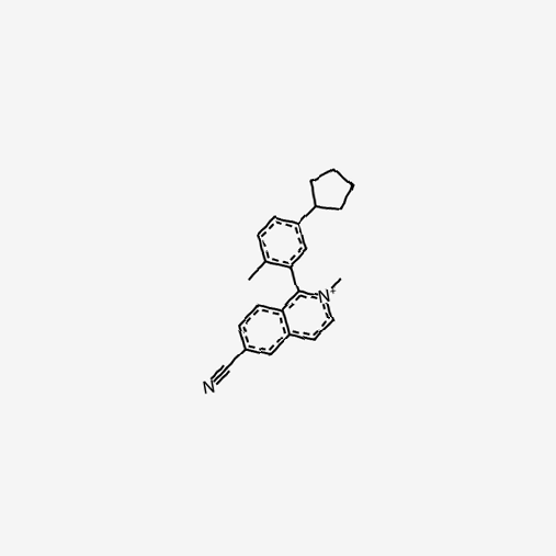 Cc1ccc(C2CCCC2)cc1-c1c2ccc(C#N)cc2cc[n+]1C